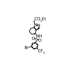 CCOC(=O)Cn1ncc2c1CCC[C@H]2NS(=O)(=O)c1cc(Br)cc(C(F)(F)F)c1